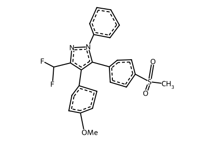 COc1ccc(-c2c(C(F)F)nn(-c3ccccc3)c2-c2ccc(S(C)(=O)=O)cc2)cc1